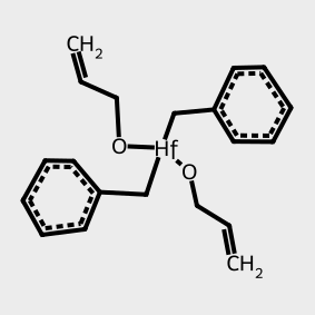 C=CC[O][Hf]([CH2]c1ccccc1)([CH2]c1ccccc1)[O]CC=C